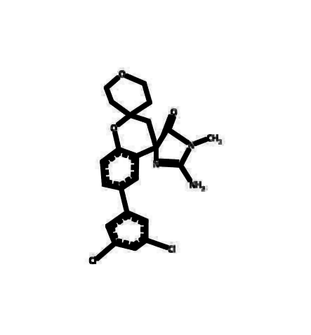 CN1C(=O)C2(CC3(CCOCC3)Oc3ccc(-c4cc(Cl)cc(Cl)c4)cc32)N=C1N